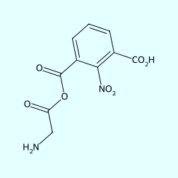 NCC(=O)OC(=O)c1cccc(C(=O)O)c1[N+](=O)[O-]